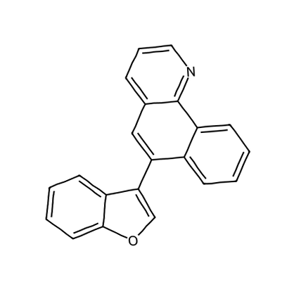 c1cnc2c(c1)cc(-c1coc3ccccc13)c1ccccc12